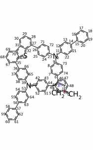 C=C/C=C(\C=C)c1ccc(N(c2ccc(-c3ccccc3)cc2)c2ccc(-c3cccc4c3sc3c(-c5ccc(N(c6ccc(-c7ccccc7)cc6)c6ccc(-c7ccccc7)cc6)cc5)cccc34)cc2)cc1